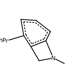 CCCc1cccc2c1CN2C